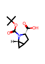 CC(C)(C)OC(=O)N1[C@H](C(=O)O)CC2C[C@@H]21